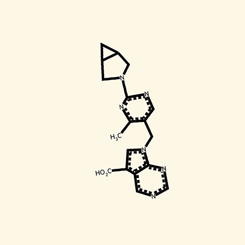 Cc1nc(N2CC3CC3C2)ncc1Cn1cc(C(=O)O)c2cncnc21